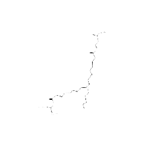 CCCCCC(CCCCC)CCOC(=O)CCCCCCCN(CCCCO)CCCCCCCC(=O)OC(CCCCC)CCCCC